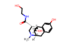 CN1CC[C@]23C[C@@H](C(=O)NCCO)C[C@@]2(O)[C@H]1Cc1ccc(O)cc13